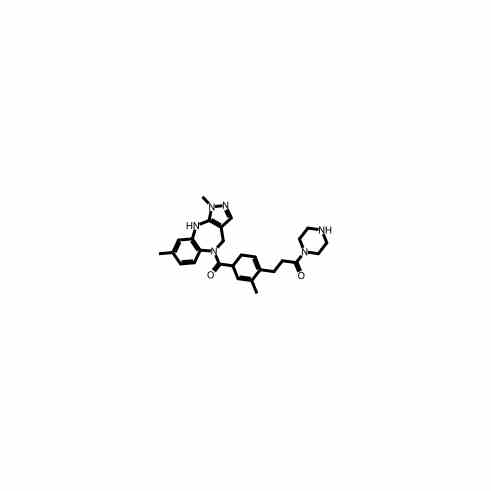 CC1=CC(C(=O)N2Cc3cnn(C)c3Nc3cc(C)ccc32)CC=C1CCC(=O)N1CCNCC1